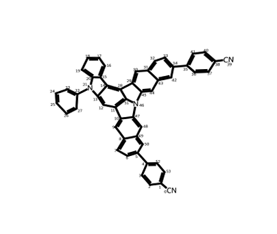 N#Cc1ccc(-c2ccc3cc4c5cc6c(c7ccccc7n6-c6ccccc6)c6c7cc8ccc(-c9ccc(C#N)cc9)cc8cc7n(c4cc3c2)c56)cc1